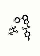 O=C(NC1Cc2cccc(-c3ccncc3)c2C1)c1ccc(F)cc1.O=C(O)C(F)(F)F